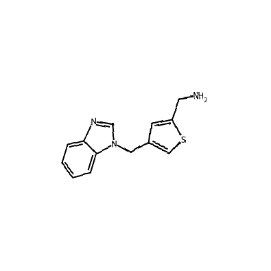 NCc1cc(Cn2cnc3ccccc32)cs1